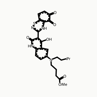 COC(=O)CCCN(CCC(C)C)c1ccc2[nH]c(=O)c(-c3nsc4ccc(=O)c(=O)c=4[nH]3)c(O)c2c1